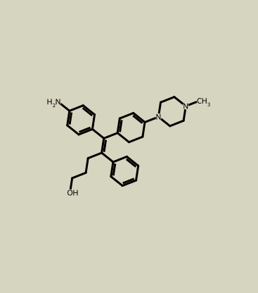 CN1CCN(C2=CC=C(/C(=C(/CCCO)c3ccccc3)c3ccc(N)cc3)CC2)CC1